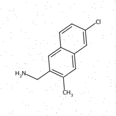 Cc1cc2cc(Cl)ccc2cc1CN